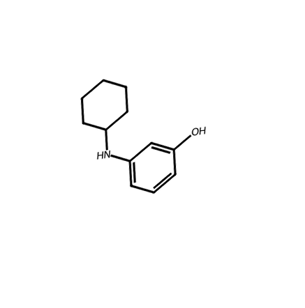 Oc1cccc(NC2CCCCC2)c1